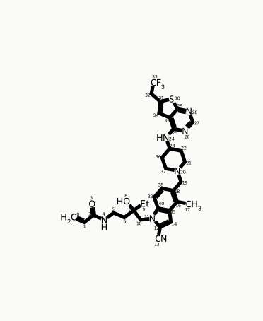 C=CC(=O)NCCC(O)(CC)Cn1c(C#N)cc2c(C)c(CN3CCC(Nc4ncnc5sc(CC(F)(F)F)cc45)CC3)ccc21